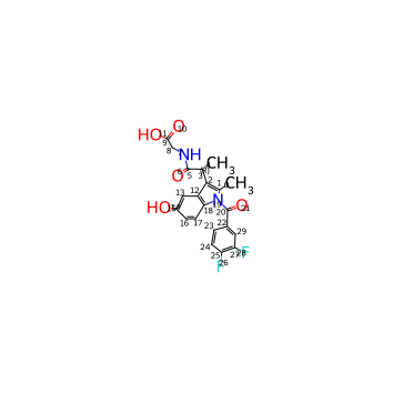 Cc1c([C@@H](C)C(=O)NCC(=O)O)c2cc(O)ccc2n1C(=O)c1ccc(F)c(F)c1